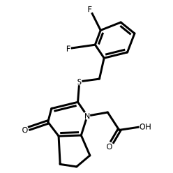 O=C(O)Cn1c(SCc2cccc(F)c2F)cc(=O)c2c1CCC2